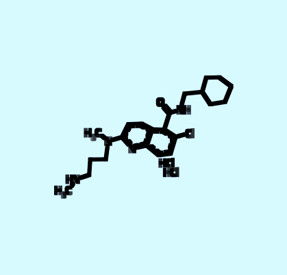 CNCCCN(C)c1ccc2c(C(=O)NCC3CCCCC3)c(Cl)ccc2n1.Cl.Cl